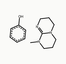 CN1CCCN2CCCN=C12.Oc1ccccc1